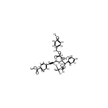 COC(=O)c1ccc(C#CCC[C@@H](NC(=O)OCc2ccc(OC)cc2)[C@H](O[Si](C)(C)C(C)(C)C)c2ccccc2)cn1